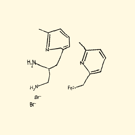 Cc1cccc(CC(N)CN)n1.Cc1cccc([CH2][Fe+2])n1.[Br-].[Br-]